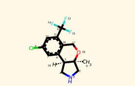 C[C@]12CNC[C@H]1c1cc(Cl)cc(C(F)(F)F)c1CO2